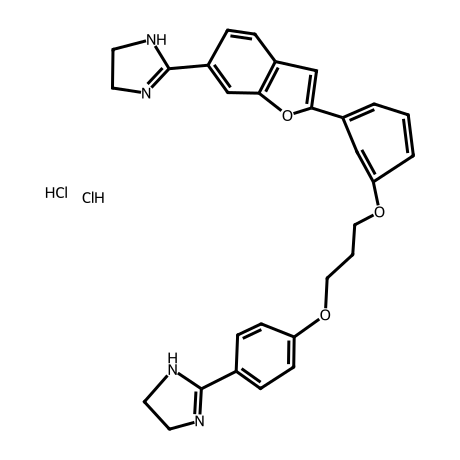 Cl.Cl.c1cc(OCCCOc2ccc(C3=NCCN3)cc2)cc(-c2cc3ccc(C4=NCCN4)cc3o2)c1